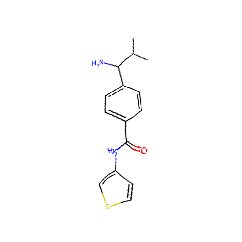 CC(C)C(N)c1ccc(C(=O)Nc2ccsc2)cc1